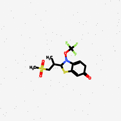 CC(CS(C)(=O)=O)C1SC2=CC(=O)CC=C2N1OC(F)(F)F